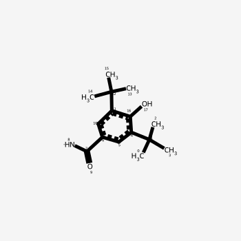 CC(C)(C)c1cc(C([NH])=O)cc(C(C)(C)C)c1O